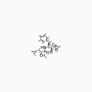 C[C@@H](CC1CC1)C(=O)N[C@@H](Cc1ccccc1)C(=O)[C@@]1(C)CO1